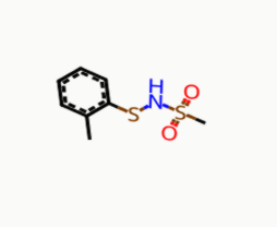 Cc1ccccc1SNS(C)(=O)=O